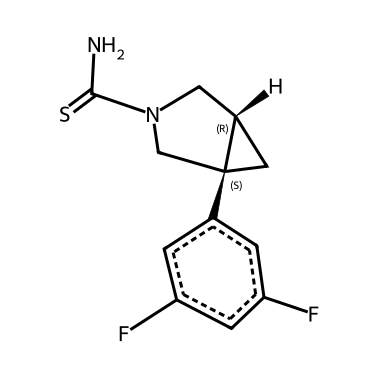 NC(=S)N1C[C@@H]2C[C@]2(c2cc(F)cc(F)c2)C1